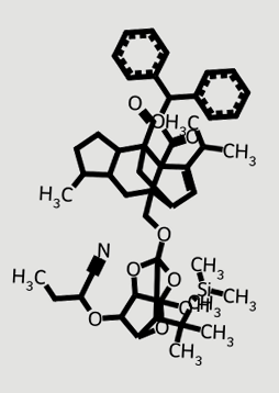 CCC(C#N)OC1C2OC3(O[SiH](C)C)OC(OCC45CC6C(C)CCC6C6(C=O)CC4C=C(C(C)C)C65C(=O)OC(c4ccccc4)c4ccccc4)(OC13)C2C(C)(C)C